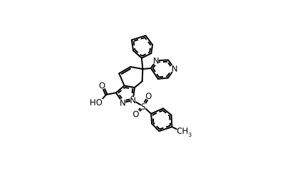 Cc1ccc(S(=O)(=O)n2nc(C(=O)O)c3c2CC(c2ccccc2)(c2ccncn2)C=C3)cc1